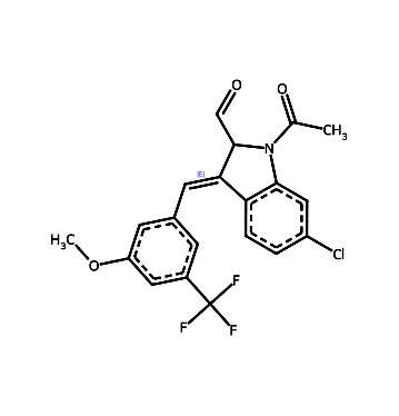 COc1cc(/C=C2\c3ccc(Cl)cc3N(C(C)=O)C2C=O)cc(C(F)(F)F)c1